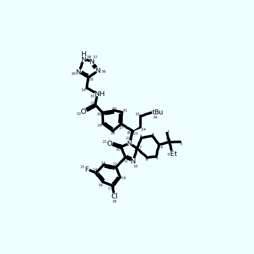 CCC(C)(C)C1CCC2(CC1)N=C(c1cc(F)cc(Cl)c1)C(=O)N2[C@H](CCC(C)(C)C)c1ccc(C(=O)NCc2nn[nH]n2)cc1